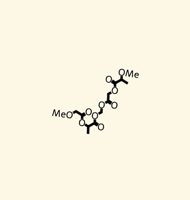 COCC(=O)OC(C)C(=O)OCOC(=O)COC(=O)C(C)OC